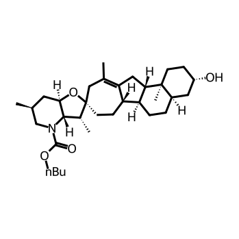 CCCCOC(=O)N1C[C@@H](C)C[C@H]2O[C@]3(CC[C@@H]4C(=C(C)C3)C[C@H]3[C@H]4CC[C@@H]4C[C@@H](O)CC[C@@]43C)[C@H](C)[C@@H]21